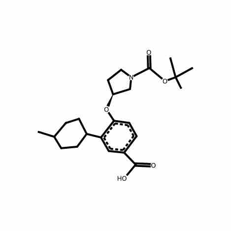 CC1CCC(c2cc(C(=O)O)ccc2O[C@H]2CCN(C(=O)OC(C)(C)C)C2)CC1